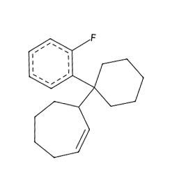 Fc1ccccc1C1(C2C=CCCCC2)CCCCC1